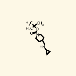 CC(C)(C)OC(=O)N1CCC(CNC2CC2)CC1